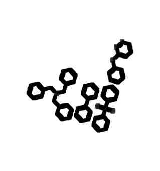 O=S(=O)(c1ccccc1)c1ccccc1.c1ccc(-c2ccccc2)cc1.c1ccc(CN(Cc2ccccc2)Cc2ccccc2)cc1.c1ccc(Oc2cccpn2)cc1